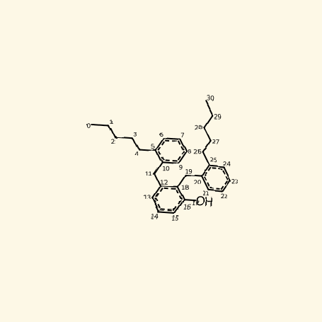 CCCCCc1ccccc1Cc1cccc(O)c1Cc1ccccc1CCCCC